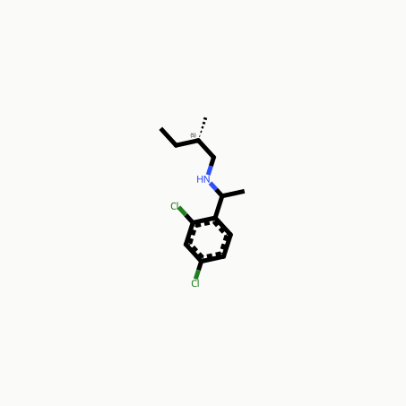 CC[C@H](C)CNC(C)c1ccc(Cl)cc1Cl